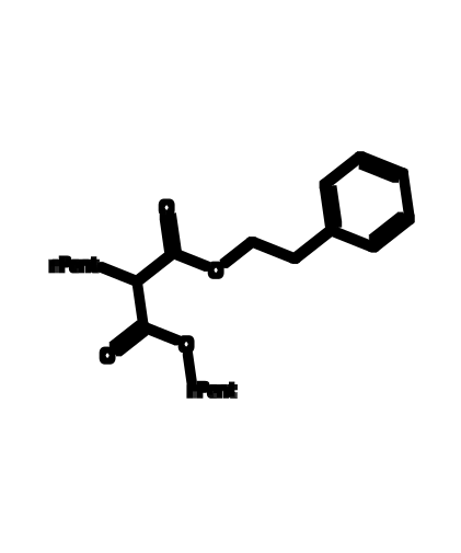 CCCCCOC(=O)C(CCCCC)C(=O)OCCc1ccccc1